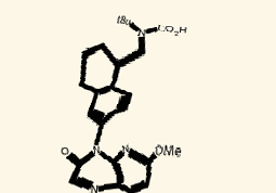 COc1ccc2ncc(=O)n(-c3ccc4c(c3)CCCC4CN(C(=O)O)C(C)(C)C)c2n1